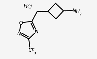 Cl.NC1CC(Cc2nc(C(F)(F)F)no2)C1